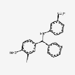 COc1ccc(C(Nc2cccc(C(=O)O)c2)c2cccnc2)cc1F